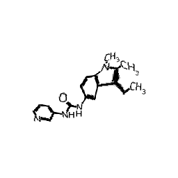 CCc1c(C)n(C)c2ccc(NC(=O)Nc3cccnc3)cc12